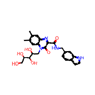 Cc1cc2nc(C(=O)NCc3ccc4cc[nH]c4c3)c(=O)n(CC(O)C(O)C(O)CO)c2cc1C